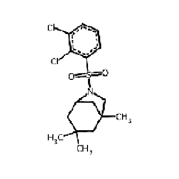 CC1(C)CC2CC(C)(CN2S(=O)(=O)c2cccc(Cl)c2Cl)C1